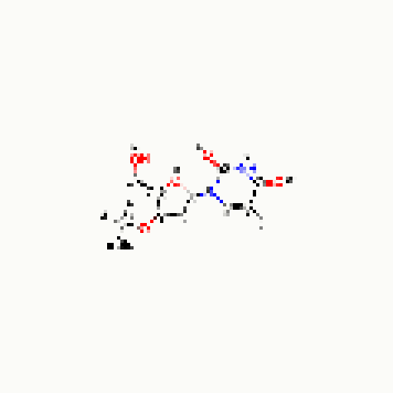 Cc1cn(C2CC(O[Si](C)(C)C(C)(C)C)[C@@H](CO)O2)c(=O)[nH]c1=O